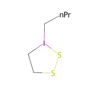 CCCCI1CCSS1